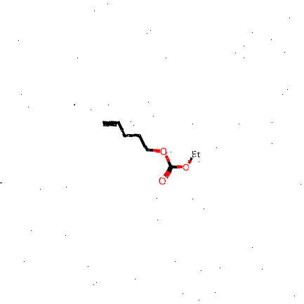 C=CCCCOC(=O)OCC